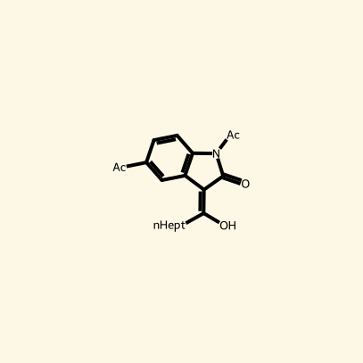 CCCCCCC/C(O)=C1/C(=O)N(C(C)=O)c2ccc(C(C)=O)cc21